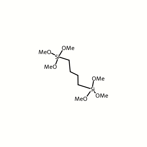 CO[Si](CCCC[Si](OC)(OC)OC)(OC)OC